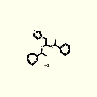 CC(SC(Cn1ccnc1)SC(C)c1ccccc1)c1ccccc1.Cl